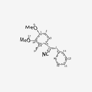 COc1ccc(/C(C#N)=C/c2ccccc2)c(F)c1OC